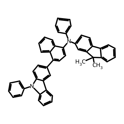 CC1(C)c2ccccc2-c2ccc(N(c3ccccc3)c3ccc(-c4ccc5c(c4)c4ccccc4n5-c4ccccc4)c4ccccc34)cc21